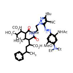 [C-]#[N+]c1c(C(C)(C)C)nn(CCNC(=O)C(C(CC(C)c2ccccc2)C(=O)O)C(C(=O)O)C(C(=O)NC)C(C(=O)O)C(C)C(=O)O)c1/N=N/c1cc(OC)c(N(CC)CC)cc1NC(C)=O